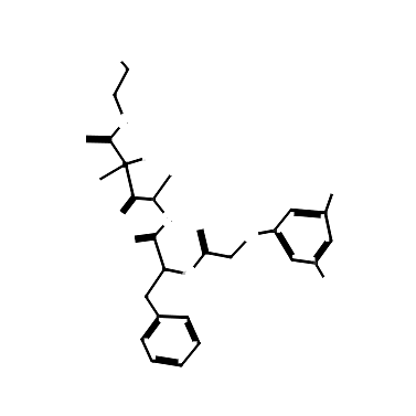 CC(C)C(NC(=O)C(Cc1ccccc1)NC(=O)COc1cc(Cl)cc(Cl)c1)C(=O)C(F)(F)C(=O)NCCC(F)(F)F